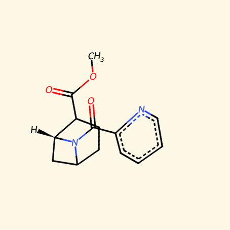 COC(=O)C1CCC2C[C@H]1N2C(=O)c1ccccn1